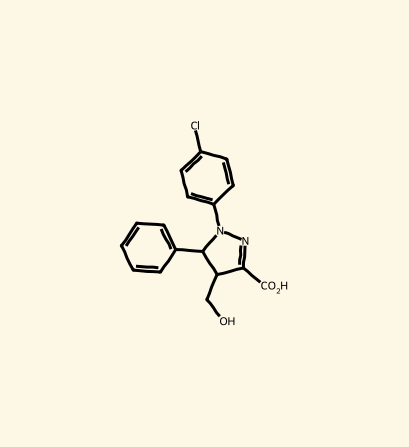 O=C(O)C1=NN(c2ccc(Cl)cc2)C(c2ccccc2)C1CO